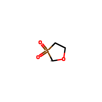 O=S1(=O)[CH]OCC1